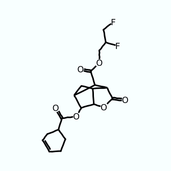 O=C(OC1C2CC3C1OC(=O)C3C2C(=O)OCC(F)CF)C1CC=CCC1